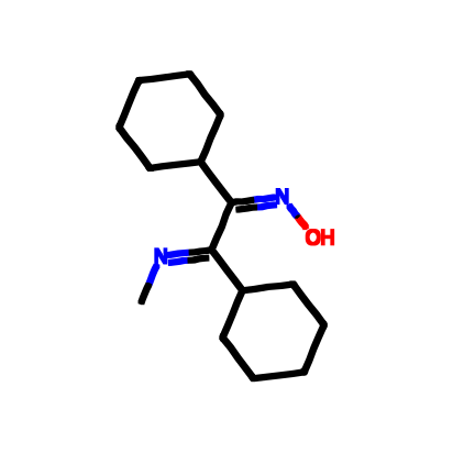 CN=C(C(=NO)C1CCCCC1)C1CCCCC1